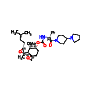 CO[C@@H]1[C@H](OC(=O)N[C@@H](C(=O)N2CCC(N3CCCC3)CC2)C(C)C)CC[C@]2(CO2)[C@H]1[C@@]1(C)O[C@@H]1CC=C(C)C